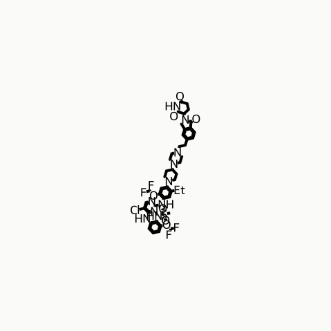 CCc1cc(Nc2ncc(Cl)c(Nc3cccc(OC(F)F)c3NS(C)(=O)=O)n2)c(OC(F)F)cc1N1CCC(N2CCN(CCc3ccc4c(c3)CN(C3CCC(=O)NC3=O)C4=O)CC2)CC1